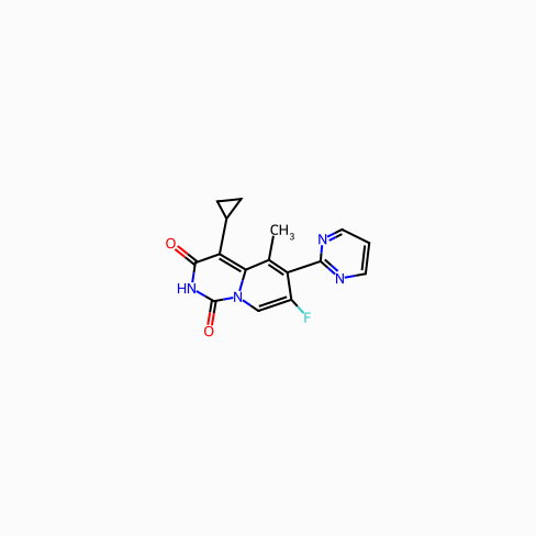 Cc1c(-c2ncccn2)c(F)cn2c(=O)[nH]c(=O)c(C3CC3)c12